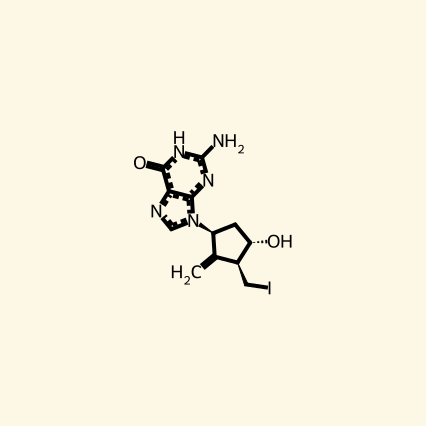 C=C1[C@H](CI)[C@@H](O)C[C@@H]1n1cnc2c(=O)[nH]c(N)nc21